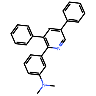 CN(C)c1cccc(-c2ncc(-c3ccccc3)[c]c2-c2ccccc2)c1